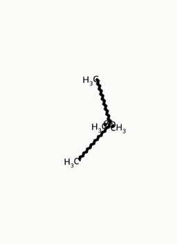 CCCCCCCCCCCCCCCCCC[Si](CCCCCCCCCCCCCCCCCC)(OC)OC